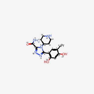 CC(C)c1cc(-c2nnc(C(N)=O)n2C2CCNCC2)c(O)cc1O